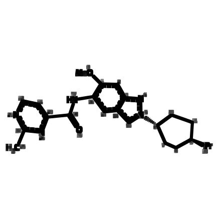 COc1cc2nn([C@H]3CC[C@H](C(C)C)CC3)cc2cc1NC(=O)c1ccnc(C)n1